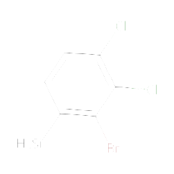 [SiH3]c1ccc(Cl)c(Cl)c1Br